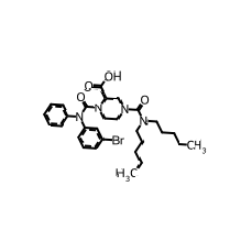 CCCCCN(CCCCC)C(=O)N1CCN(C(=O)N(c2ccccc2)c2cccc(Br)c2)C(C(=O)O)C1